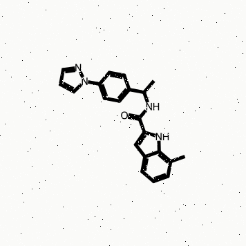 Cc1cccc2cc(C(=O)NC(C)c3ccc(-n4cccn4)cc3)[nH]c12